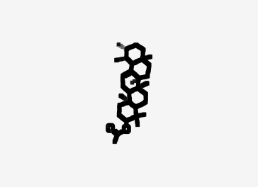 CC(=O)O[C@H]1CC[C@@]2(C)C(CC[C@]3(C)C2CC=C2C4[C@@H](C)[C@H](C)CC[C@]4(C)CC[C@]23C)C1(C)C